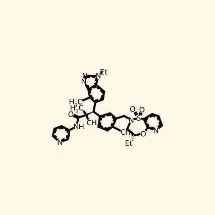 CC[C@@H]1CN(Cc2cc([C@H](c3ccc4c(nnn4CC)c3C)C(C)(C)C(=O)Nc3cccnc3)ccc2C)S(=O)(=O)c2cccnc2O1